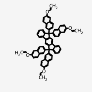 C=COc1ccc2cc(C3(c4ccc5cc(OC=C)ccc5c4)c4ccccc4-c4cc5c(cc43)-c3ccccc3C5(c3ccc4cc(OC=C)ccc4c3)c3ccc4cc(OC=C)ccc4c3)ccc2c1